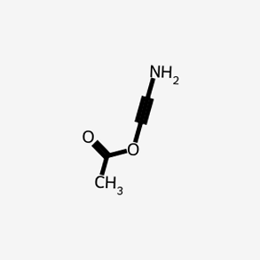 CC(=O)OC#CN